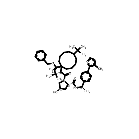 Cc1ncsc1-c1ccc([C@H](C)NC(=O)[C@@H]2C[C@@H](O)CN2C(=O)[C@H](C(C)(C)C)C2(C(=O)OCc3ccccc3)CCCCC(C(C)(C)C)CCCC2)cc1